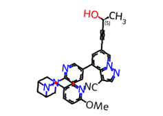 COc1ccc(CN2C3CC2CN(c2ccc(-c4cc(C#C[C@H](C)O)cn5ncc(C#N)c45)cn2)C3)cn1